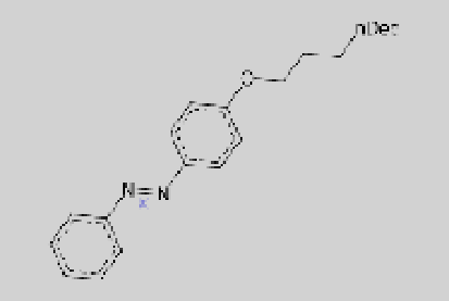 CCCCCCCCCCCCCOc1ccc(/N=N/c2ccccc2)cc1